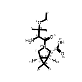 CCOC(C)(C)C(N)C(=O)N1C[C@H]2[C@@H]([C@H]1C(=O)O)C2(C)C